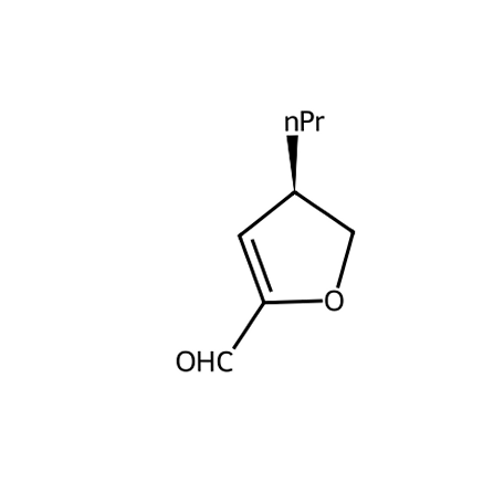 CCC[C@@H]1C=C(C=O)OC1